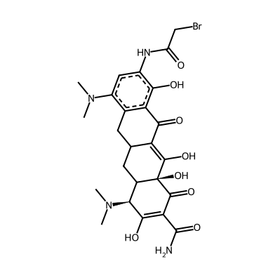 CN(C)c1cc(NC(=O)CBr)c(O)c2c1CC1CC3[C@H](N(C)C)C(O)=C(C(N)=O)C(=O)[C@@]3(O)C(O)=C1C2=O